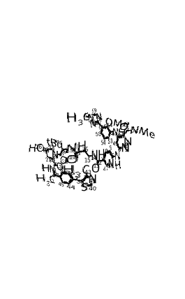 CNC(=O)c1nnc(Nc2ccc(C(=O)NCCC(=O)N[C@H](C(=O)N3C[C@H](O)C[C@H]3C(=O)N[C@@H](C)c3ccc(-c4scnc4C)cc3)C(C)(C)C)cn2)cc1Nc1cccc(-c2ncn(C)n2)c1OC